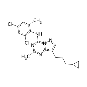 Cc1nc(Nc2c(C)cc(Cl)cc2Cl)n2ncc(CCCC3CC3)c2n1